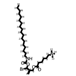 C=C(COC(=O)CCCCC[N+](C)(C)C)C(Br)OC(=O)NCCCCCCCCCCCCCCCCCC